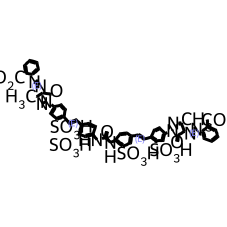 CC1=NN(c2ccc(/C=C/c3ccc(NC(=O)Nc4ccc(/C=C/c5ccc(N6N=C(C)C(/N=N/c7ccccc7C(=O)O)C6=O)cc5S(=O)(=O)O)cc4S(=O)(=O)O)c(S(=O)(=O)O)c3)c(S(=O)(=O)O)c2)C(=O)C1/N=N/c1ccccc1C(=O)O